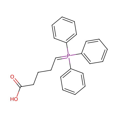 O=C(O)CCCC=P(c1ccccc1)(c1ccccc1)c1ccccc1